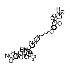 CC1(C)[C@H](NC(=O)c2ccc(N3CCN(CCCCCOc4ccc5c(c4)CC(=O)N(C4CCC(=O)NC4=O)C5=O)CC3)nc2)C(C)(C)[C@H]1Oc1ccc(C#N)c(Cl)c1